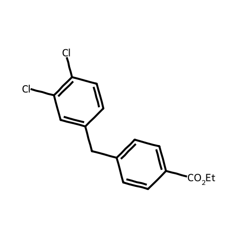 CCOC(=O)c1ccc(Cc2ccc(Cl)c(Cl)c2)cc1